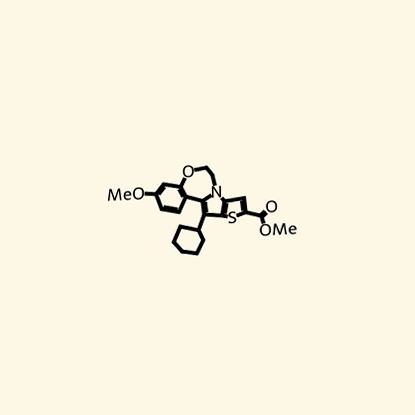 COC(=O)c1cc2c(s1)c(C1CCCCC1)c1n2CCOc2cc(OC)ccc2-1